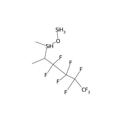 CC([SiH](C)O[SiH3])C(F)(F)C(F)(F)C(F)(F)C(F)(F)F